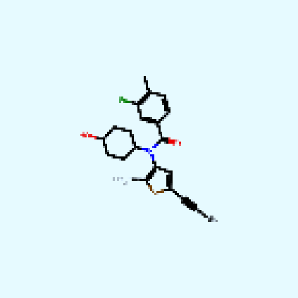 Cc1ccc(C(=O)N(c2cc(C#CC(C)(C)C)sc2C(=O)O)C2CCC(O)CC2)cc1F